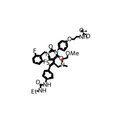 CCNC(=O)Nc1ccc(-c2sc3c(c2CN(C)CCOC)c(=O)n(-c2ccc(OCCNS(C)(=O)=O)cc2)c(=O)n3Cc2c(F)cccc2F)cc1